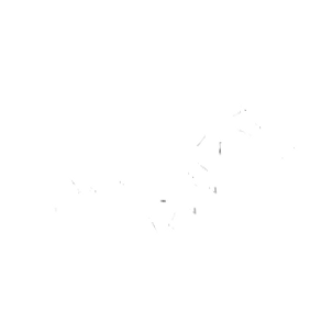 CC(c1ccnc(Nc2nc3cc(F)c(-c4cnn(CC5CC5(F)F)c4)cc3[nH]2)c1)N1CCN(C(=O)OC(C)(C)C)CC1